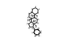 C[C@]12CCCCC1CC[C@@H]1[C@@H]2CC[C@]2(C)C(c3cccnc3)CC[C@@H]12